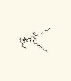 C#CCC(CC#C)CP(=O)(O)OCC(COC(=O)CCCCCCCCC)OC(=O)CCCCCCCCC